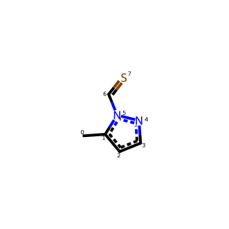 Cc1ccnn1[C]=S